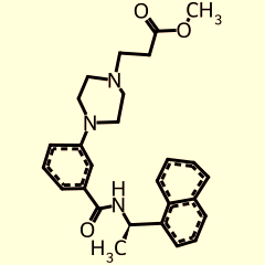 COC(=O)CCN1CCN(c2cccc(C(=O)N[C@H](C)c3cccc4ccccc34)c2)CC1